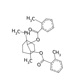 CPC12CCC(C)(CC1)C(OC(=O)c1ccccc1C)C2OC(=O)c1ccccc1C